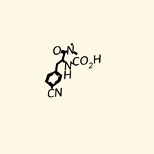 CN(C)C(=O)C(Cc1ccc(C#N)cc1)NC(=O)O